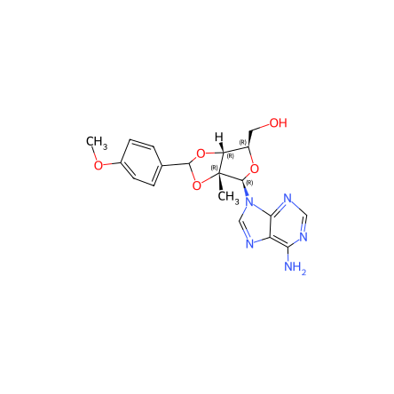 COc1ccc(C2O[C@@H]3[C@@H](CO)O[C@@H](n4cnc5c(N)ncnc54)[C@]3(C)O2)cc1